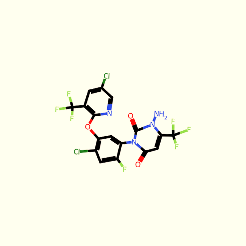 Nn1c(C(F)(F)F)cc(=O)n(-c2cc(Oc3ncc(Cl)cc3C(F)(F)F)c(Cl)cc2F)c1=O